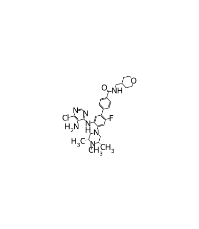 C[C@@H]1CN(c2cc(F)c(-c3ccc(C(=O)NCC4CCOCC4)cc3)cc2Nc2ncnc(Cl)c2N)C[C@H](C)N1C